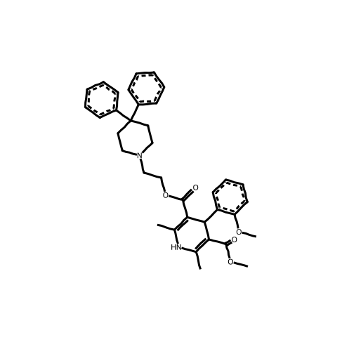 COC(=O)C1=C(C)NC(C)=C(C(=O)OCCN2CCC(c3ccccc3)(c3ccccc3)CC2)C1c1ccccc1OC